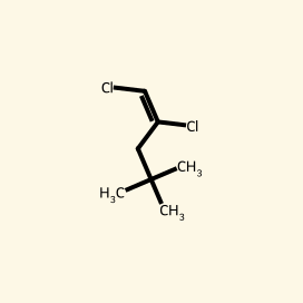 CC(C)(C)C/C(Cl)=C\Cl